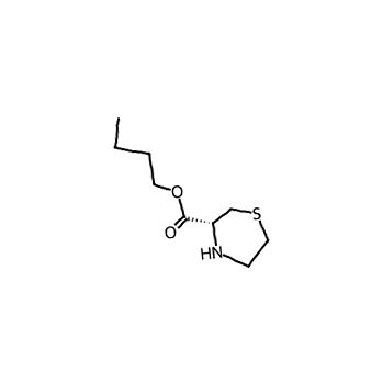 CCCCOC(=O)[C@@H]1CSCCN1